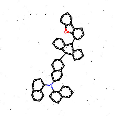 c1ccc2c(N(c3ccc4cc(-c5c6ccccc6c(-c6cccc7c6oc6ccccc67)c6ccccc56)ccc4c3)c3cccc4ccccc34)cccc2c1